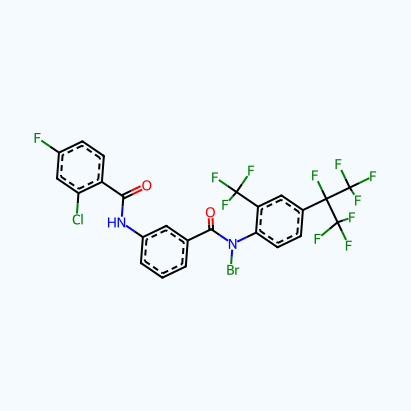 O=C(Nc1cccc(C(=O)N(Br)c2ccc(C(F)(C(F)(F)F)C(F)(F)F)cc2C(F)(F)F)c1)c1ccc(F)cc1Cl